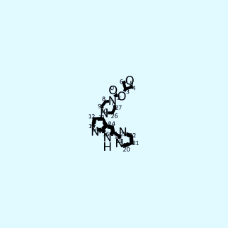 O=C(OC1COC1)N1CCN(c2ccnc3[nH]c(-c4ncccn4)cc23)CC1